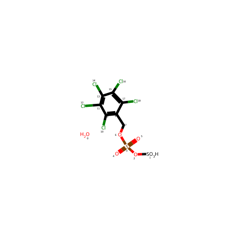 O.O=S(=O)(O)OS(=O)(=O)OCc1c(Cl)c(Cl)c(Cl)c(Cl)c1Cl